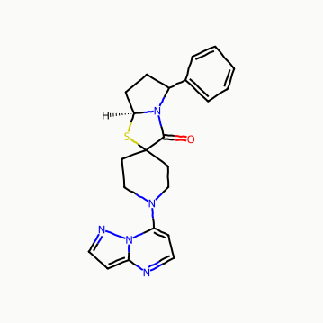 O=C1N2C(c3ccccc3)CC[C@@H]2SC12CCN(c1ccnc3ccnn13)CC2